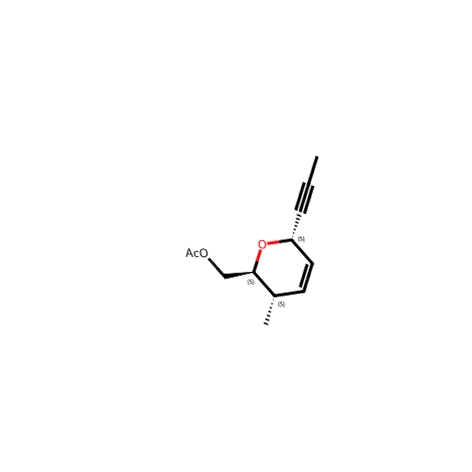 CC#C[C@@H]1C=C[C@H](C)[C@@H](COC(C)=O)O1